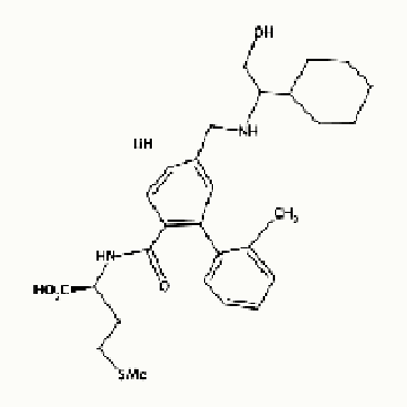 CSCC[C@H](NC(=O)c1ccc(CNC(CO)C2CCCCC2)cc1-c1ccccc1C)C(=O)O.[LiH]